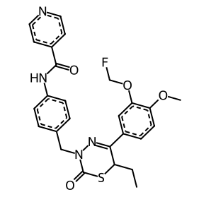 CCC1SC(=O)N(Cc2ccc(NC(=O)c3ccncc3)cc2)N=C1c1ccc(OC)c(OCF)c1